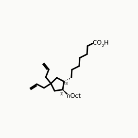 C=CCC1(CC=C)C[C@H](CCCCCCCC)[C@@H](CCCCCCC(=O)O)C1